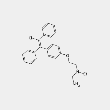 CCN(CN)CCOc1ccc(/C(=C(/Cl)c2ccccc2)c2ccccc2)cc1